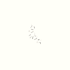 Cc1ccc2c(Cc3cccc(-c4noc(=O)[nH]4)n3)c(-c3ccoc3)[nH]c2c1